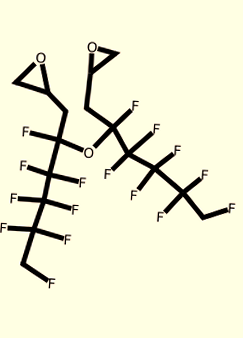 FCC(F)(F)C(F)(F)C(F)(F)C(F)(CC1CO1)OC(F)(CC1CO1)C(F)(F)C(F)(F)C(F)(F)CF